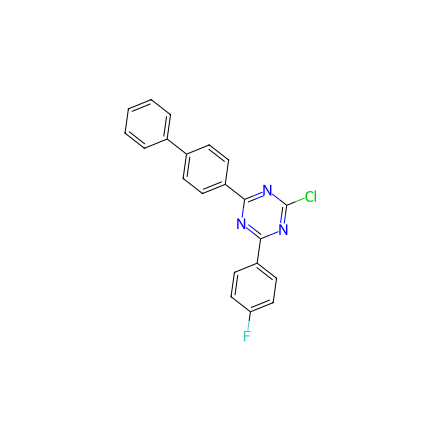 Fc1ccc(-c2nc(Cl)nc(-c3ccc(-c4ccccc4)cc3)n2)cc1